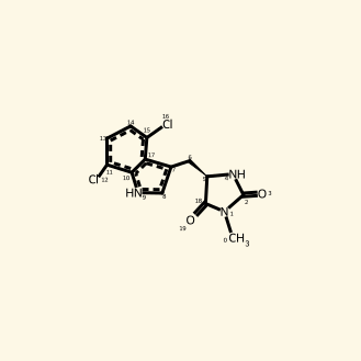 CN1C(=O)N[C@H](Cc2c[nH]c3c(Cl)ccc(Cl)c23)C1=O